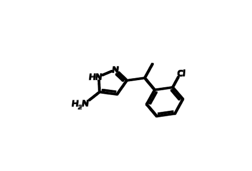 CC(c1cc(N)[nH]n1)c1ccccc1Cl